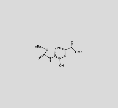 CCCCOC(=O)Nc1ccc(C(=O)OC)cc1O